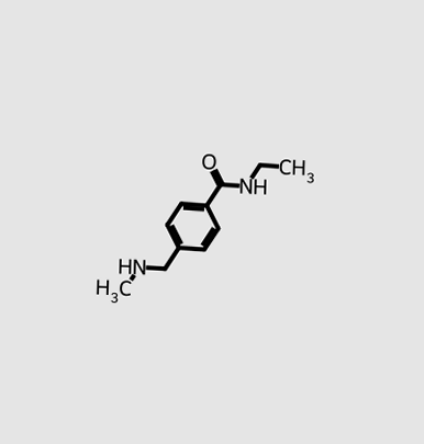 CCNC(=O)c1ccc(CNC)cc1